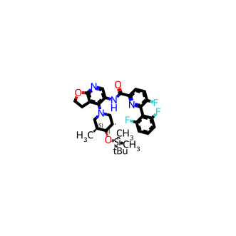 C[C@H]1CN(c2c(NC(=O)c3ccc(F)c(-c4c(F)cccc4F)n3)cnc3c2CCO3)C[CH][C@H]1O[Si](C)(C)C(C)(C)C